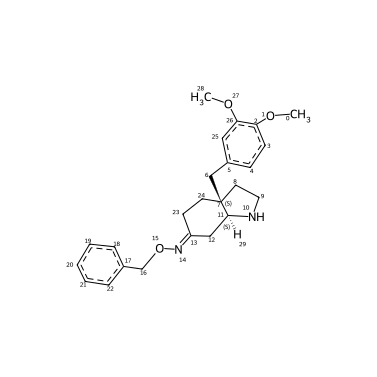 COc1ccc(C[C@@]23CCN[C@H]2CC(=NOCc2ccccc2)CC3)cc1OC